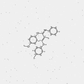 COc1ccc(O/C(=N/c2ccccc2)C(C)=COc2ccc(C)cc2)cc1